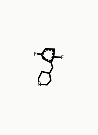 Fc1ccc(F)c(CC2CC[N]CC2)c1